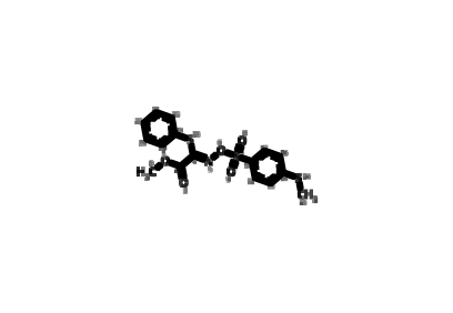 COC(=O)/C(=N/OS(=O)(=O)c1ccc(SC)cc1)Sc1ccccc1